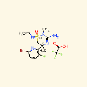 CN1C(N)=N[C@](C)(c2nc(Br)ccc2F)C[S@]1(=O)=NCC(F)(F)F.O=C(O)C(F)(F)F